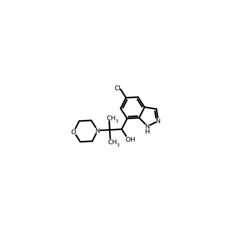 CC(C)(C(O)c1cc(Cl)cc2cn[nH]c12)N1CCOCC1